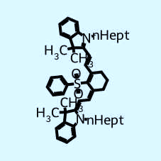 CCCCCCCN1C(=CC=C2CCCC(C=CC3=[N+](CCCCCCC)c4ccccc4C3(C)C)=C2S(=O)(=O)c2ccccc2)C(C)(C)c2ccccc21